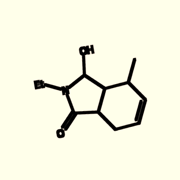 CCN1C(=O)C2CC=CC(C)C2C1O